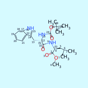 COC(=O)[C@H](CC(C)C)NC(=O)[C@H](Cc1c[nH]c2ccccc12)NC(=O)OC(C)(C)C